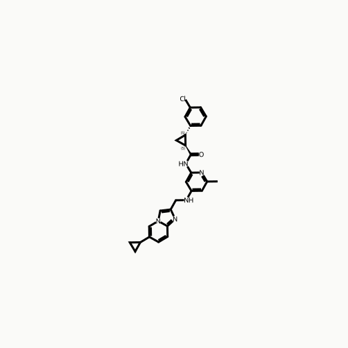 Cc1cc(NCc2cn3cc(C4CC4)ccc3n2)cc(NC(=O)[C@H]2C[C@@H]2c2cccc(Cl)c2)n1